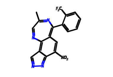 Cc1cnc2c(cc([N+](=O)[O-])c3nncc32)c(-c2ccccc2C(F)(F)F)n1